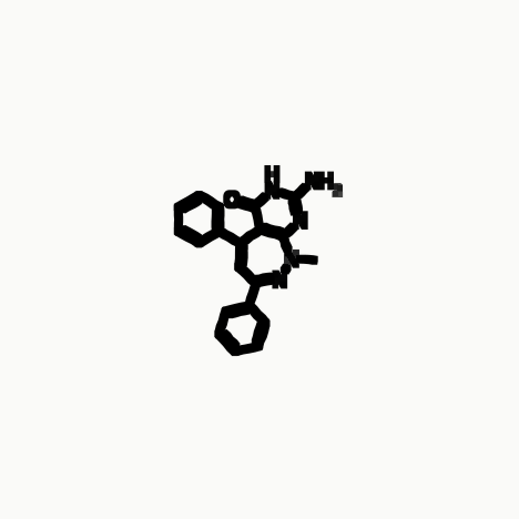 CN1N=C(c2ccccc2)C=C(c2ccccc2)c2c1nc(N)[nH]c2=O